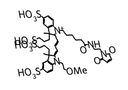 COCCN1/C(=C/C=C/C2=[N+](CCCCCC(=O)NCCN3C(=O)C=CC3=O)c3ccc(S(=O)(=O)O)cc3C2(C)CCCS(=O)(=O)O)C(C)(CCCS(=O)(=O)O)c2cc(S(=O)(=O)O)ccc21